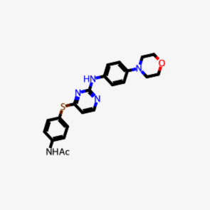 CC(=O)Nc1ccc(Sc2ccnc(Nc3ccc(N4CCOCC4)cc3)n2)cc1